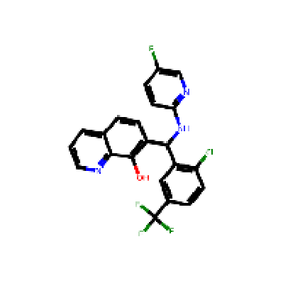 Oc1c(C(Nc2ccc(F)cn2)c2cc(C(F)(F)F)ccc2Cl)ccc2cccnc12